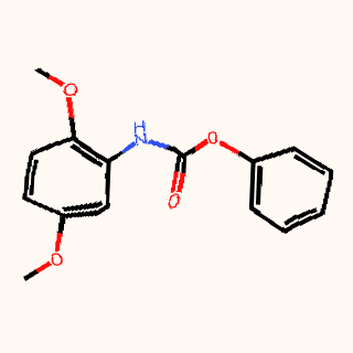 COc1ccc(OC)c(NC(=O)Oc2ccccc2)c1